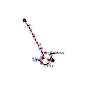 COCCOCCCC(=O)[C@@H]1CSCC(=O)N[C@@H](CCCCNC(=O)COCC(=O)NCCOCCOCCOCCOCCOCCNC(=O)CO/N=C/c2ccc(F)cc2)C(=O)N[C@H]2CSSC[C@H](NC(=O)[C@H](CC(=O)O)CC(=O)CNC(=O)[C@H](CCCNC(=N)N)CC2=O)C(=O)C[C@@H](Cc2ccccc2)C(=O)N1